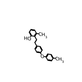 Cc1ccc(Oc2ccc(CCc3c(C)cccc3O)cc2)cc1